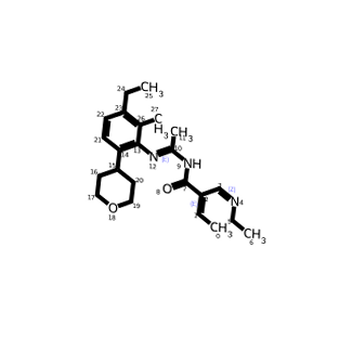 C/C=C(\C=N/CC)C(=O)N/C(C)=N/c1c(C2CCOCC2)ccc(CC)c1C